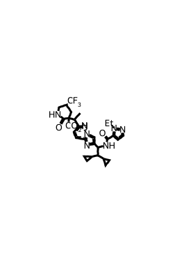 CCn1nccc1C(=O)NC(c1cn2nc(C(C)C3(C(=O)O)C[C@@H](C(F)(F)F)CNC3=O)ccc2n1)C(C1CC1)C1CC1